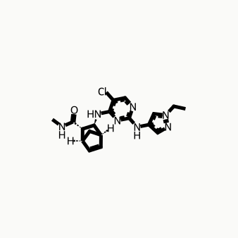 CCn1cc(Nc2ncc(Cl)c(N[C@H]3[C@@H](C(=O)NC)[C@@H]4C=C[C@H]3C4)n2)cn1